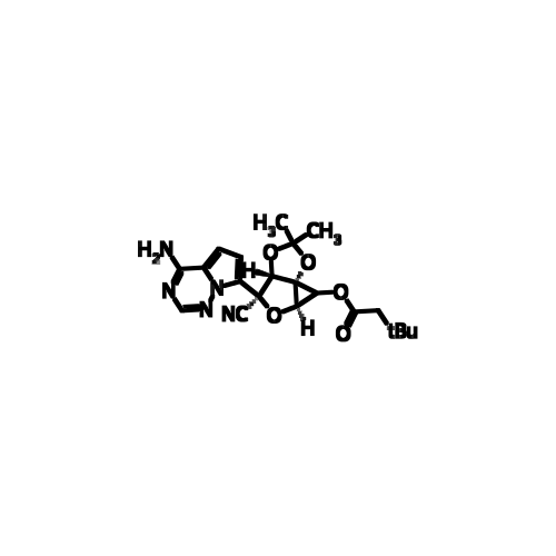 CC(C)(C)CC(=O)OC1[C@H]2O[C@@](C#N)(c3ccc4c(N)ncnn34)[C@@H]3OC(C)(C)O[C@]123